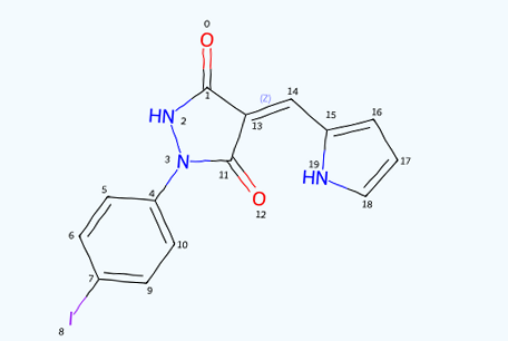 O=C1NN(c2ccc(I)cc2)C(=O)/C1=C\c1ccc[nH]1